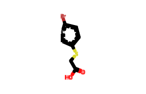 O=C(O)CSc1ccc(Br)cc1